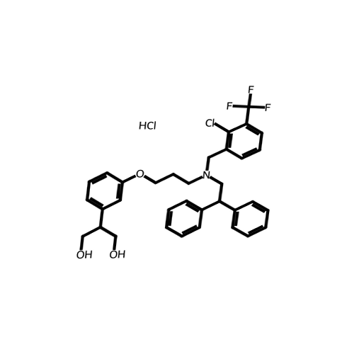 Cl.OCC(CO)c1cccc(OCCCN(Cc2cccc(C(F)(F)F)c2Cl)CC(c2ccccc2)c2ccccc2)c1